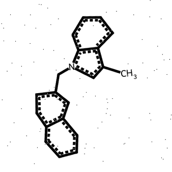 Cc1cn(Cc2ccc3ccccc3c2)c2ccccc12